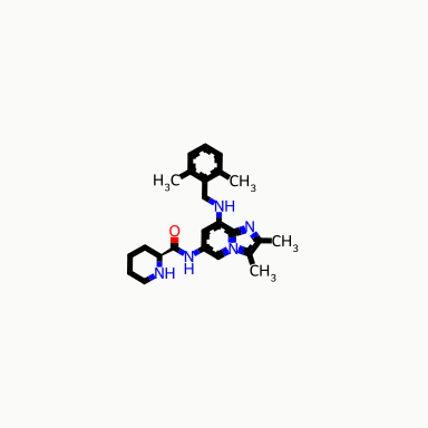 Cc1cccc(C)c1CNc1cc(NC(=O)[C@@H]2CCCCN2)cn2c(C)c(C)nc12